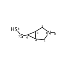 CN1CC2C(C1)C2SS